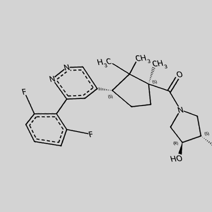 C[C@H]1CN(C(=O)[C@@]2(C)CC[C@H](c3cnnc(-c4c(F)cccc4F)c3)C2(C)C)C[C@@H]1O